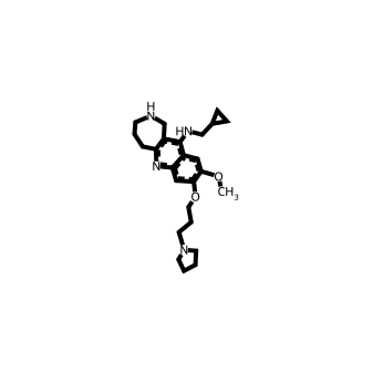 COc1cc2c(NCC3CC3)c3c(nc2cc1OCCCN1CCCC1)CCCNC3